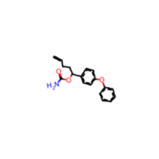 C=CCCC(OC(N)=O)c1ccc(Oc2ccccc2)cc1